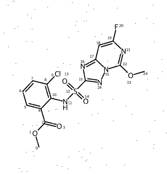 COC(=O)c1cccc(Cl)c1NS(=O)(=O)c1nc2cc(F)nc(OC)n2n1